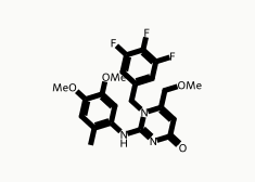 COCc1cc(=O)nc(Nc2cc(OC)c(OC)cc2C)n1Cc1cc(F)c(F)c(F)c1